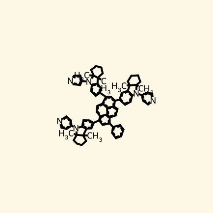 CC12CCCCC1(C)N(c1ccncc1)c1ccc(-c3cc(-c4ccccc4)c4ccc5c(-c6ccc7c(c6)C6(C)CCCCC6(C)N7c6ccncc6)cc(-c6ccc7c(c6)C6(C)CCCCC6(C)N7c6ccncc6)c6ccc3c4c56)cc12